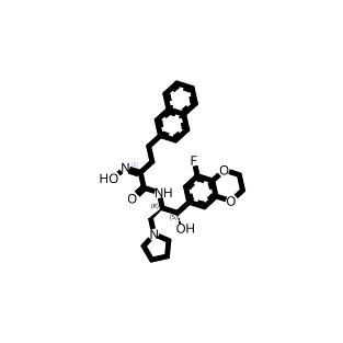 O=C(N[C@H](CN1CCCC1)[C@@H](O)c1cc(F)c2c(c1)OCCO2)/C(CCc1ccc2ccccc2c1)=N\O